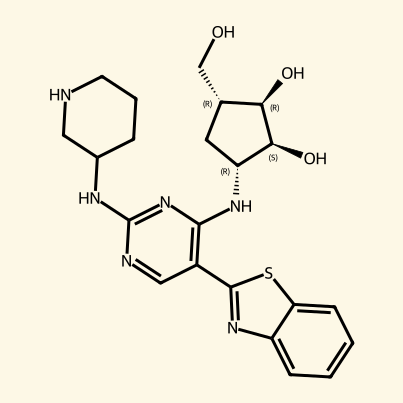 OC[C@H]1C[C@@H](Nc2nc(NC3CCCNC3)ncc2-c2nc3ccccc3s2)[C@H](O)[C@@H]1O